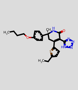 CCCCOc1ccc([C@]2(C)CC(c3ccc(CC)s3)=C(c3nnn[nH]3)C(=O)N2)cc1